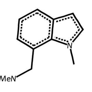 CNCc1cccc2ccn(C)c12